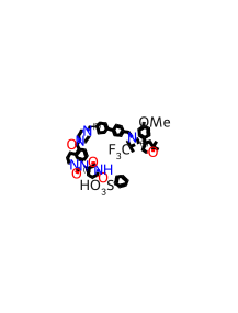 COc1ccc([C@]2(CCN(Cc3ccc(C4=CC[C@H](CN5CCN(C(=O)c6ccc7c8c6CCCn8c(=O)n7[C@@H]6CCC(=O)NC6=O)CC5)CC4)cc3)CC(C)(C)C(F)(F)F)CCOC(C)(C)C2)cc1.O=S(=O)(O)c1ccccc1